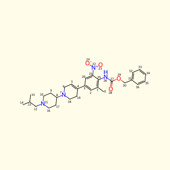 Cc1cc(C2=CCN(C3CCN(CC(C)C)CC3)CC2)cc([N+](=O)[O-])c1NC(=O)OCc1ccccc1